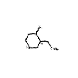 COC[C@H]1CNCCN1C(C)C